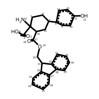 NC1(C(=O)O)CCC(c2ccc(O)cc2)CC1C(=O)OCC1c2ccccc2-c2ccccc21